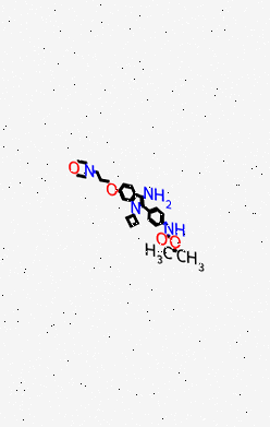 CC(C)OC(=O)Nc1ccc(-c2c(N)c3ccc(OCCCN4CCOCC4)cc3n2C2CCC2)cc1